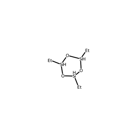 CC[SiH]1O[SiH](CC)O[SiH](CC)O1